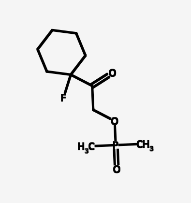 CP(C)(=O)OCC(=O)C1(F)CCCCC1